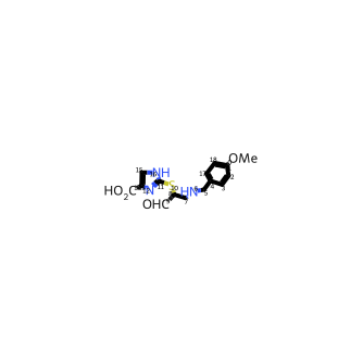 COc1ccc(CNCC(C=O)Sc2nc(C(=O)O)c[nH]2)cc1